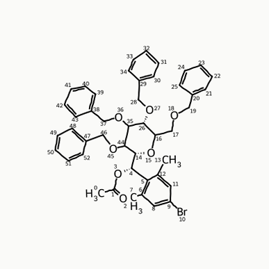 CC(=O)O[C@@H](c1c(C)cc(Br)cc1C)[C@H]1OC(COCc2ccccc2)[C@@H](OCc2ccccc2)C(OCc2ccccc2)C1OCc1ccccc1